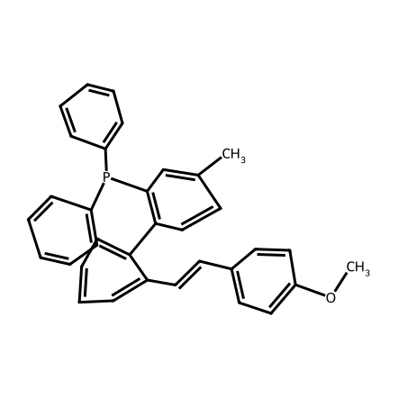 COc1ccc(C=Cc2ccccc2-c2ccc(C)cc2P(c2ccccc2)c2ccccc2)cc1